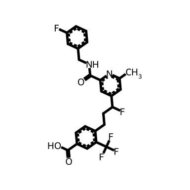 Cc1cc(C(F)CCc2ccc(C(=O)O)cc2C(F)(F)F)cc(C(=O)NCc2cccc(F)c2)n1